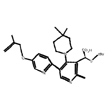 C=C(C)COc1ccc(-c2cnc(C)c([C@H](OC(C)(C)C)C(=O)O)c2N2CCC(C)(C)CC2)nc1